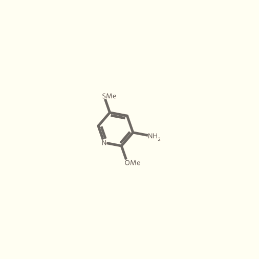 COc1ncc(SC)cc1N